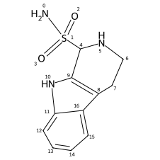 NS(=O)(=O)C1NCCc2c1[nH]c1ccccc21